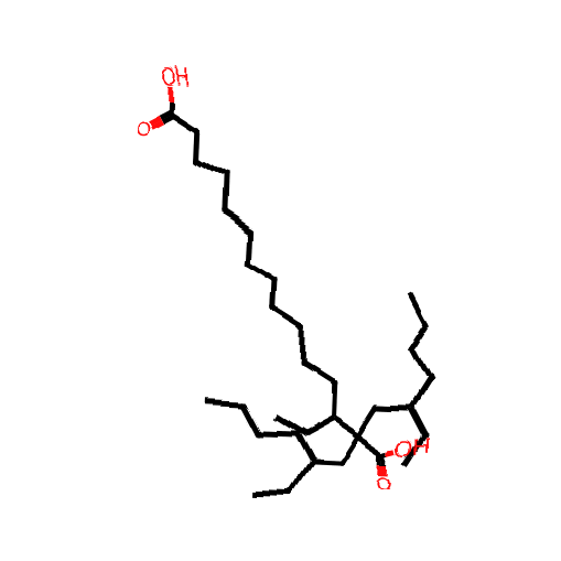 CCCCC(CC)CC(CC(CC)CCCC)(C(=O)O)C(CC)CCCCCCCCCCCC(=O)O